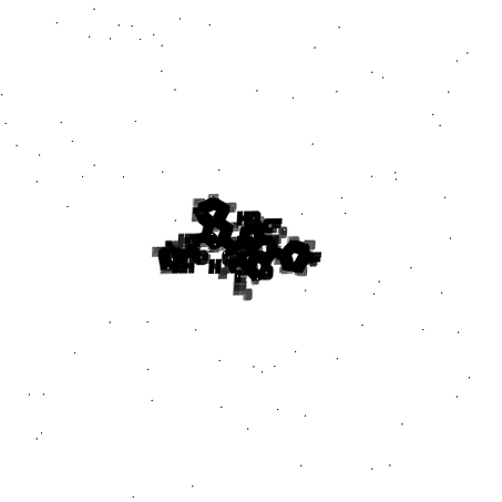 C[C@]1(C(N)=O)COc2c1cc([C@@](O)(CNC(=O)c1cc(NC(=O)c3ncc[nH]3)c3ncccc3c1)C(F)(F)F)nc2-c1ccc(F)cc1